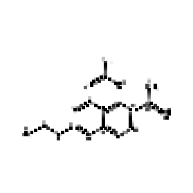 CC(=O)CCc1ccc2c(OC(=O)C(F)(F)F)c(C(=N)N)ccc2c1